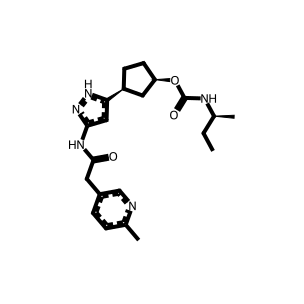 CC[C@H](C)NC(=O)O[C@@H]1CC[C@H](c2cc(NC(=O)Cc3ccc(C)nc3)n[nH]2)C1